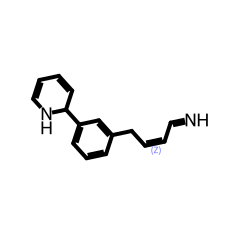 N=C/C=C\Cc1cccc(C2C=CC=CN2)c1